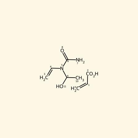 C=CC(=O)O.C=CN(C(N)=O)C(C)O